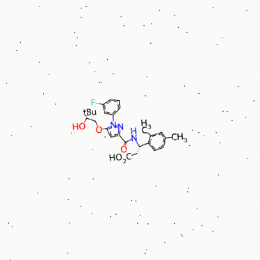 Cc1ccc([C@H](CC(=O)O)NC(=O)c2cc(OC[C@H](O)C(C)(C)C)n(-c3cccc(F)c3)n2)c(C)c1